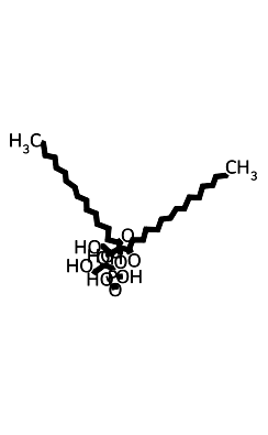 CCCCCCCCCCCCCCCC(=O)C(OC(C(O)CO)P(=O)(O)O)(C(=O)CCCCCCCCCCCCCCC)[C@@H](O)CO